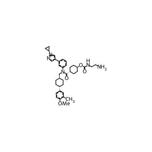 COc1ccc([C@H]2CC[C@H](CN(c3cccc(-c4cnn(C5CC5)c4)c3)C(=O)[C@H]3CC[C@H](OC(=O)NCCN)CC3)CC2)cc1C